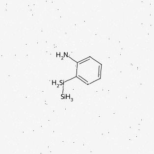 Nc1ccccc1[SiH2][SiH3]